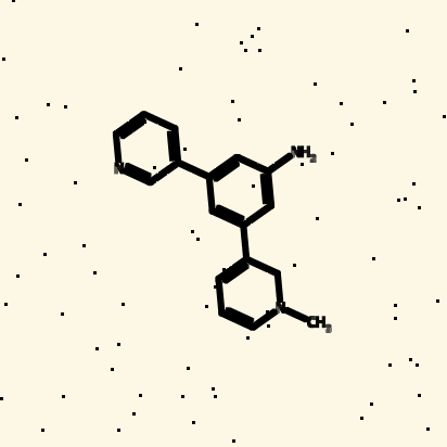 CN1C=CC=C(c2cc(N)cc(-c3cccnc3)c2)C1